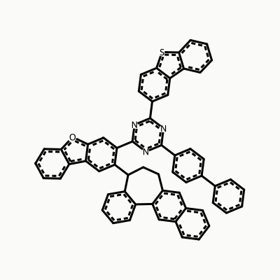 c1ccc(-c2ccc(-c3nc(-c4ccc5sc6ccccc6c5c4)nc(-c4cc5oc6ccccc6c5cc4C4CCc5cc6ccccc6cc5-c5ccccc54)n3)cc2)cc1